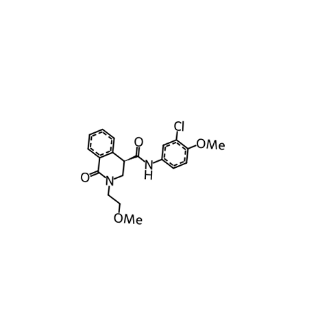 COCCN1C[C@H](C(=O)Nc2ccc(OC)c(Cl)c2)c2ccccc2C1=O